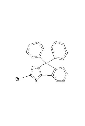 Brc1cc2c(s1)-c1ccccc1C21c2ccccc2-c2ccccc21